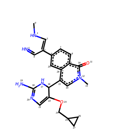 CN/C=C(\C=N)c1ccc2c(=O)n(C)cc(C3NC(N)=NC=C3OCC3CC3)c2c1